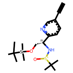 C#Cc1ccc([C@@H](CO[Si](C)(C)C(C)(C)C)N[S+]([O-])C(C)(C)C)nc1